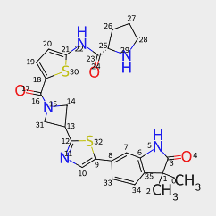 CC1(C)C(=O)Nc2cc(-c3cnc(C4CN(C(=O)c5ccc(NC(=O)[C@@H]6CCCN6)s5)C4)s3)ccc21